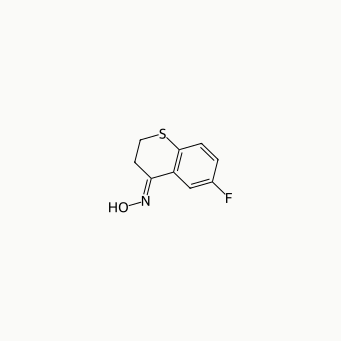 ON=C1CCSc2ccc(F)cc21